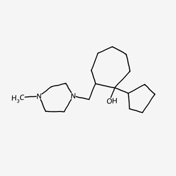 CN1CCN(CC2CCCCCC2(O)C2CCCC2)CC1